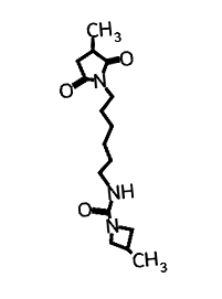 CC1CN(C(=O)NCCCCCCN2C(=O)CC(C)C2=O)C1